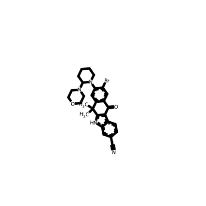 CC1(C)c2cc(N3CCCCC3N3CCOCC3)c(Br)cc2C(=O)c2c1[nH]c1cc(C#N)ccc21